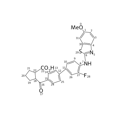 COc1ccc2nc(Nc3ccc(-c4ccc(C(=O)C5CCCC5C(=O)O)cc4)cc3F)sc2c1